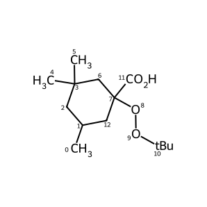 CC1CC(C)(C)CC(OOC(C)(C)C)(C(=O)O)C1